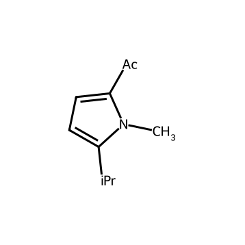 CC(=O)c1ccc(C(C)C)n1C